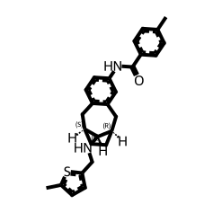 Cc1ccc(C(=O)Nc2ccc3c(c2)C[C@H]2CC[C@@H](C3)[C@H]2NCc2ccc(C)s2)cc1